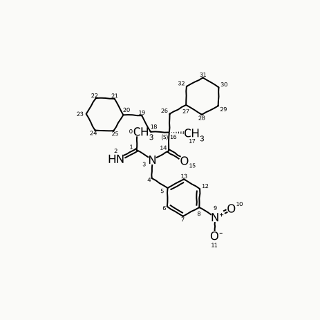 CC(=N)N(Cc1ccc([N+](=O)[O-])cc1)C(=O)[C@@](C)(CCC1CCCCC1)CC1CCCCC1